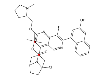 CN1CCCC1COc1nc(N2CC3CCC(Cl)(C2)N3C(=O)OC(C)(C)C)c2cnc(-c3cc(O)cc4ccccc34)c(F)c2n1